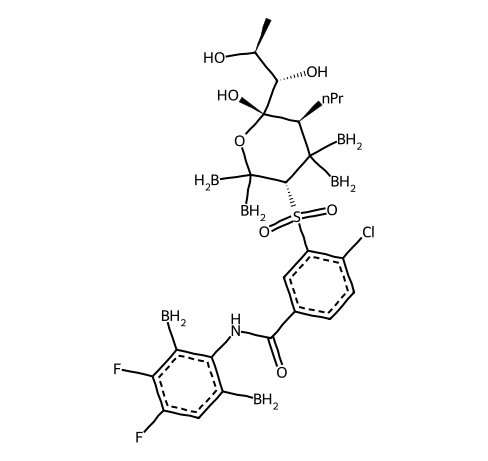 Bc1cc(F)c(F)c(B)c1NC(=O)c1ccc(Cl)c(S(=O)(=O)[C@@H]2C(B)(B)O[C@](O)([C@@H](O)[C@H](C)O)[C@@H](CCC)C2(B)B)c1